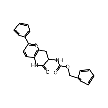 O=C(NC1Cc2nc(-c3ccccc3)ccc2NC1=O)OCc1ccccc1